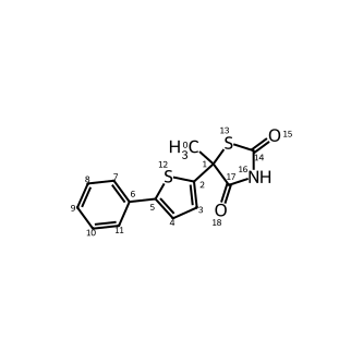 CC1(c2ccc(-c3ccccc3)s2)SC(=O)NC1=O